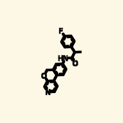 CC(C(=O)Nc1ccc2c(c1)COc1cnccc1-2)c1ccc(F)cc1